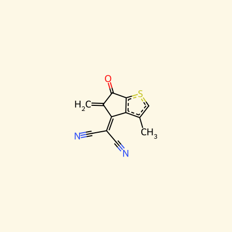 C=C1C(=O)c2scc(C)c2C1=C(C#N)C#N